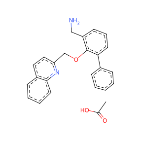 CC(=O)O.NCc1cccc(-c2ccccc2)c1OCc1ccc2ccccc2n1